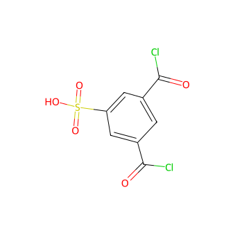 O=C(Cl)c1cc(C(=O)Cl)cc(S(=O)(=O)O)c1